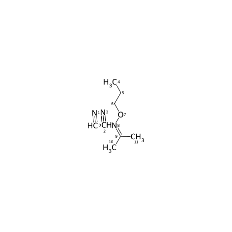 C#N.C#N.CCCON=C(C)C